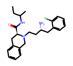 CCC(C)NC(=O)[C@@H]1Cc2ccccc2CN1CC[C@H](N)Cc1ccccc1F